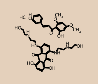 COc1cc(O)c(C(=O)C=Cc2ccccc2)c(OC)c1.Cl.Cl.O=C1c2c(O)ccc(O)c2C(=O)c2c(NCCNCCO)ccc(NCCNCCO)c21